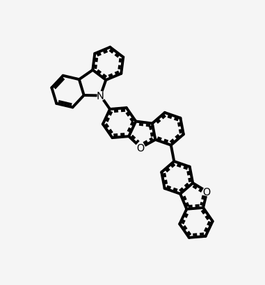 C1=CC2c3ccccc3N(c3ccc4oc5c(-c6ccc7c(c6)oc6ccccc67)cccc5c4c3)C2C=C1